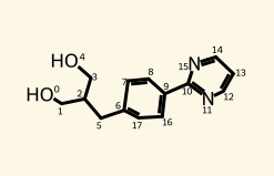 OCC(CO)Cc1ccc(-c2ncccn2)cc1